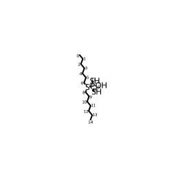 CCCCCCCS(CCCCCCC)=P(O)(S)S